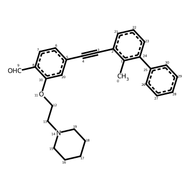 Cc1c(C#Cc2ccc(C=O)c(OCCN3CCCCC3)c2)cccc1-c1ccccc1